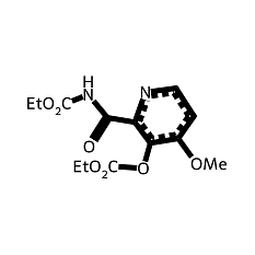 CCOC(=O)NC(=O)c1nccc(OC)c1OC(=O)OCC